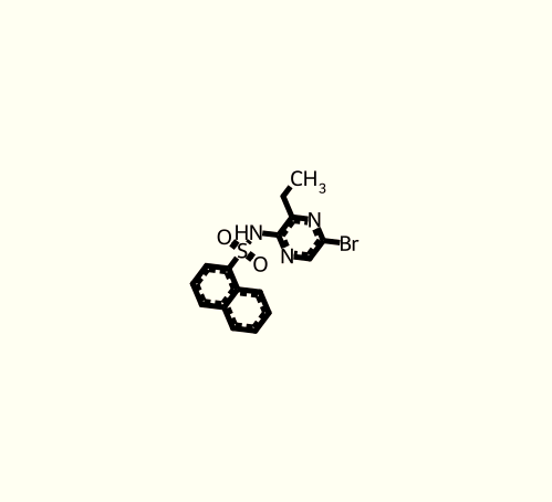 CCc1nc(Br)cnc1NS(=O)(=O)c1cccc2ccccc12